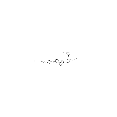 N#Cc1cncc(COc2nc(O[C@H]3CCc4c(-c5cccc(C(=O)Nc6ccc(CNCC(O)CC(=O)O)cn6)c5Cl)cccc43)ccc2CNCC(O)CC(=O)O)c1